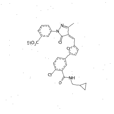 CCOC(=O)c1cccc(N2N=C(C)/C(=C/c3ccc(-c4ccc(Cl)c(C(=O)NCC5CC5)c4)o3)C2=O)c1